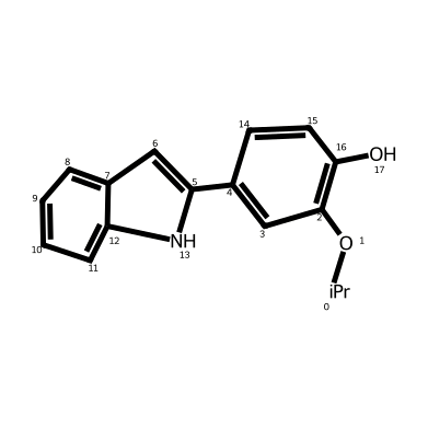 CC(C)Oc1cc(-c2cc3ccccc3[nH]2)ccc1O